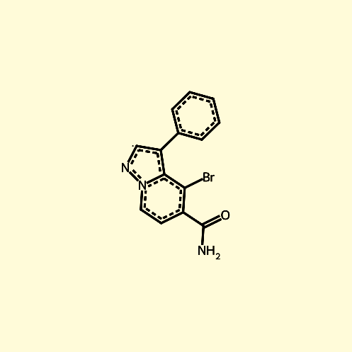 NC(=O)c1ccn2n[c]c(-c3ccccc3)c2c1Br